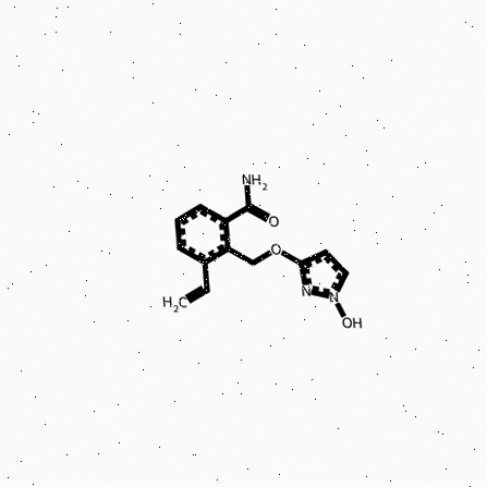 C=Cc1cccc(C(N)=O)c1COc1ccn(O)n1